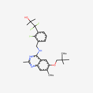 COc1cc2nc(C)nc(NCc3cccc(C(F)(F)C(C)(C)O)c3F)c2cc1OCC(C)(C)OC